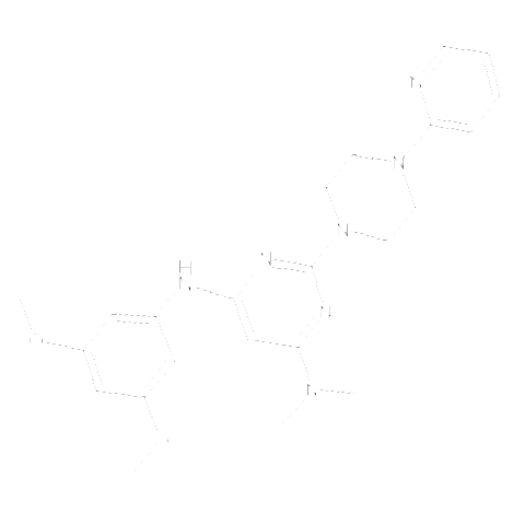 COc1cc(Nc2cc(N(C)C)nc(N3CCN(c4ccccn4)CC3)n2)cc(OC)c1